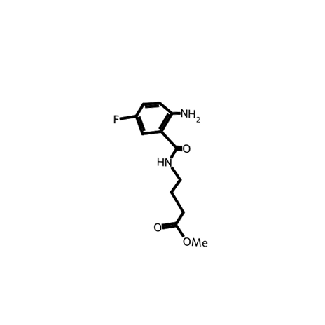 COC(=O)CCCNC(=O)c1cc(F)ccc1N